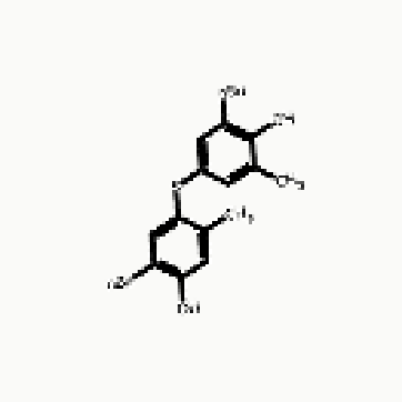 CCCCc1cc(Sc2cc(C)c(O)c(CCCC)c2)c(C)cc1O